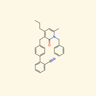 CCCc1cc(C)n(Cc2ccccc2)c(=O)c1Cc1ccc(-c2ccccc2C#N)cc1